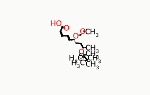 COCO[C@@H](/C=C/C=C\C(=O)O)CC[C@@H](C)O[Si](C)(C)C(C)(C)C